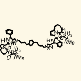 CN[C@@H](C)C(=O)NC1CCCCC2CCC(C(=O)NC(c3ccccc3)c3cn(CCCCc4ccc(CCCCn5cc([C@@H](NC(=O)[C@@H]6CCC7CCCCC(NC(=O)[C@H](C)NC)C(=O)N76)c6ccccc6)nn5)cc4)nn3)N2C1=O